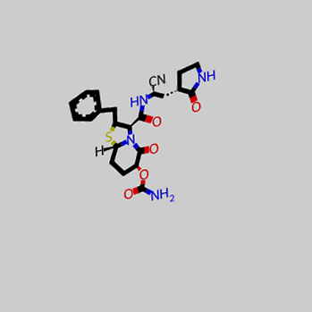 N#C[C@H](C[C@@H]1CCNC1=O)NC(=O)[C@@H]1C(Cc2ccccc2)S[C@H]2CC[C@H](OC(N)=O)C(=O)N21